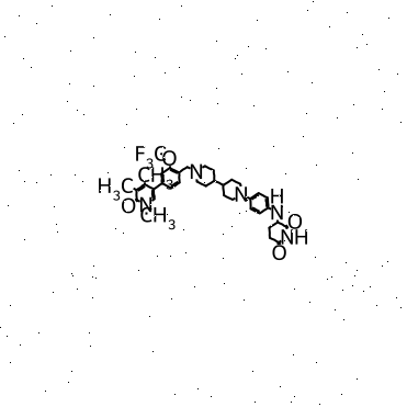 Cc1c(-c2ccc(CN3CCC(C4CCN(c5ccc(NC6CCC(=O)NC6=O)cc5)CC4)CC3)c(OC(F)(F)F)c2)cn(C)c(=O)c1C